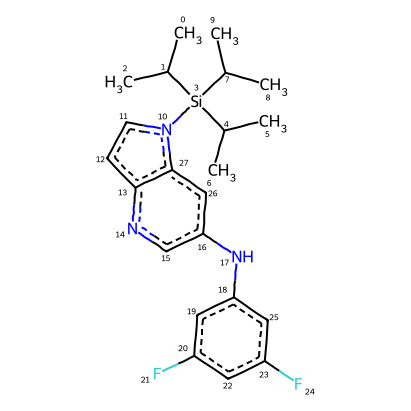 CC(C)[Si](C(C)C)(C(C)C)n1ccc2ncc(Nc3cc(F)cc(F)c3)cc21